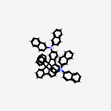 c1ccc(C2(C3(c4ccccc4)c4ccccc4-c4ccc(N(c5ccc6ccccc6c5)c5ccc6ccccc6c5)cc43)c3ccccc3-c3ccc(N(c4ccc5ccccc5c4)c4ccc5ccccc5c4)cc32)cc1